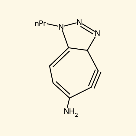 CCCN1N=NC2C#CC(N)=CC=C21